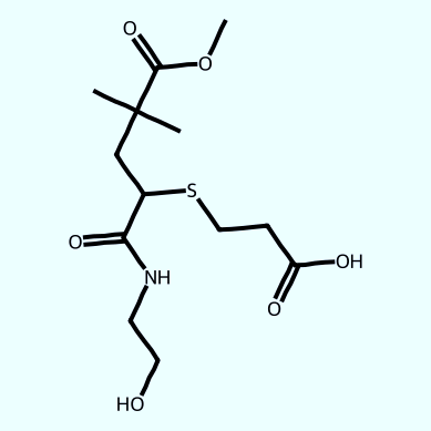 COC(=O)C(C)(C)CC(SCCC(=O)O)C(=O)NCCO